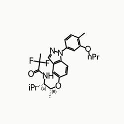 CCCOc1cc(-n2ncc3cc(O[C@H](C)[C@@H](NC(=O)C(C)(F)F)C(C)C)ccc32)ccc1C